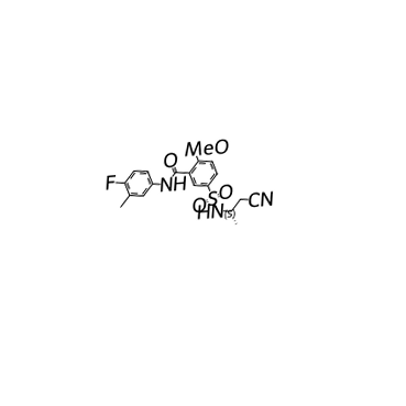 COc1ccc(S(=O)(=O)N[C@@H](C)CC#N)cc1C(=O)Nc1ccc(F)c(C)c1